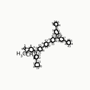 CC1(C)C2=C(CC2)c2ccc(N(c3ccc(-c4ccccc4)cc3)c3ccc(-c4ccc(-c5ccc(N(c6ccc(-c7ccccc7)cc6)c6ccc(-c7ccccc7)cc6)cc5)cc4)cc3)cc21